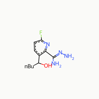 CCCCC(O)c1ccc(F)nc1/C(N)=N/N